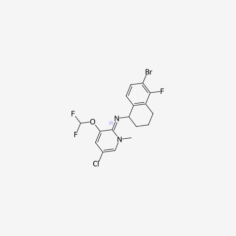 Cn1cc(Cl)cc(OC(F)F)/c1=N/C1CCCc2c1ccc(Br)c2F